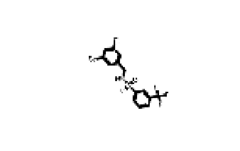 O=S(=O)(NCc1cc(Cl)cc(Br)c1)c1cccc(C(F)(F)F)c1